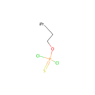 CC(C)CCOP(=S)(Cl)Cl